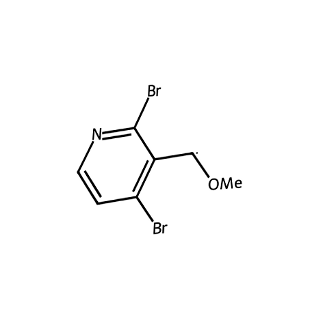 CO[CH]c1c(Br)ccnc1Br